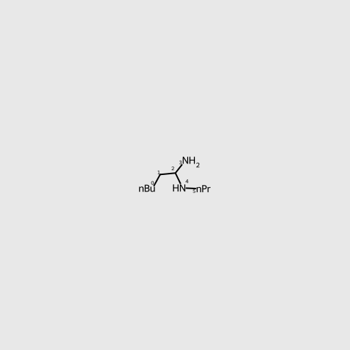 CCCCCC(N)NCCC